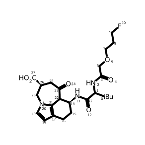 CCC(C)C(NC(=O)COCCCF)C(=O)N[C@H]1CCc2ccn3c2C1C(=O)C[C@H](C(=O)O)C3